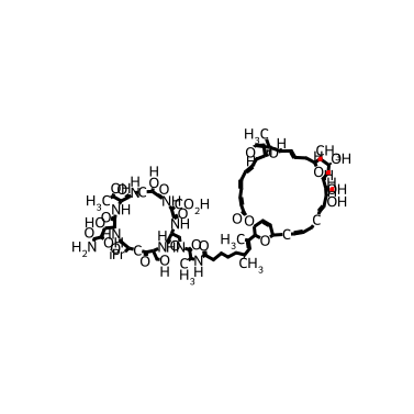 C/C(=C\[C@H](C)CCCCC(=O)NC(C)C(=O)NCC1NC(=O)C(C(=O)O)NC(=O)C(O)CNC(=O)C(C(C)O)NC(=O)C(C(O)C(O)C(N)=O)NC(=O)C(C(C)C)CC(=O)C(CO)NC1=O)C1OC2C=CC1OC(=O)\C=C/C=C\C=C\[C@H]1OC3C[C@@H]1O[C@@H](/C=C/C[C@H]1O[C@H](C[C@H](O)[C@H]1C)[C@@H](O)[C@@H](O)/C=C/CC/C=C/C2)C3C